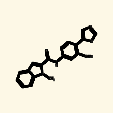 COc1cc(NC(=O)c2cc3ccccc3n2C)ccc1-c1cnco1